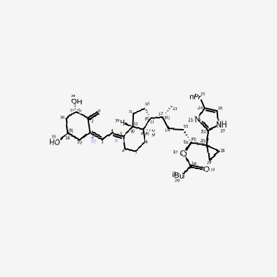 C=C1/C(=C\C=C2/CCC[C@]3(C)[C@@H]([C@H](C)CC[C@@H](OC(=O)C(C)CC)C4(c5nc(CCC)c[nH]5)CC4)CC[C@@H]23)C[C@@H](O)C[C@@H]1O